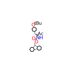 CC(=O)[C@H](Cc1ccc(OC(C)(C)C)cc1)NC(=O)OCC1c2ccccc2-c2ccccc21